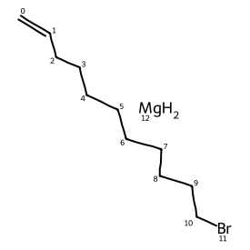 C=CCCCCCCCCCBr.[MgH2]